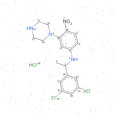 CC(Nc1ccc([N+](=O)[O-])c(N2CCNCC2)c1)c1cc(Cl)cc(Cl)c1.Cl